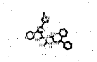 Cn1cc(-c2nc(C(=N)OC(=N)N[C@H]3N=C(c4ccccc4)c4ccccc4NC3=O)c(N3CCOCC3)s2)cn1